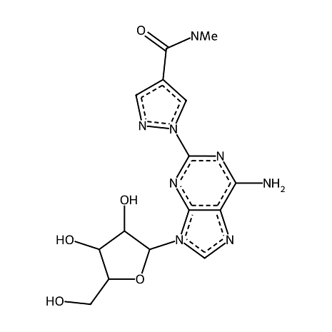 CNC(=O)c1cnn(-c2nc(N)c3ncn(C4OC(CO)C(O)C4O)c3n2)c1